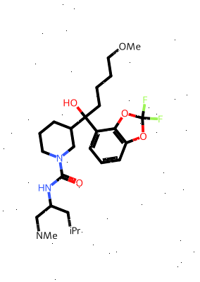 CNCC(CC(C)C)NC(=O)N1CCCC(C(O)(CCCCOC)c2cccc3c2OC(F)(F)O3)C1